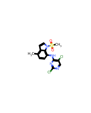 Cc1ccc(Nc2nc(Cl)ncc2Cl)c2c1ccn2S(C)(=O)=O